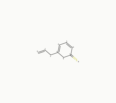 C=CCC1=CC=[C]C(=S)C1